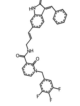 O=C1Nc2cc(/C=C/CNC(=O)c3cccn(Cc4cc(F)c(F)c(F)c4)c3=O)ccc2/C1=C\c1ccccc1